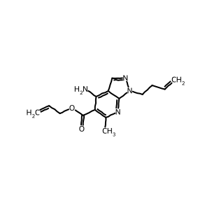 C=CCCn1ncc2c(N)c(C(=O)OCC=C)c(C)nc21